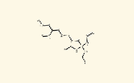 CCO[Si](CCCOCC(COC)OC)(OCC)OCC